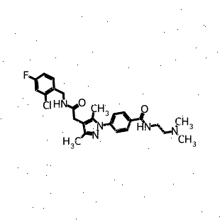 Cc1nn(-c2ccc(C(=O)NCCN(C)C)cc2)c(C)c1CC(=O)NCc1ccc(F)cc1Cl